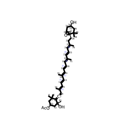 CC(=O)O[C@H]1CC(C)(C)C(=C=C/C(C)=C/C=C/C(C)=C/C=C/C=C(C)/C=C/C=C(\C)CC[C@@]23O[C@]2(C)C[C@@H](O)CC3(C)C)[C@](C)(O)C1